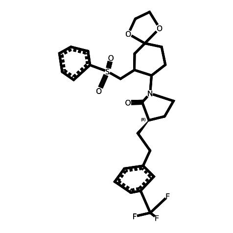 O=C1[C@H](CCc2cccc(C(F)(F)F)c2)CCN1C1CCC2(CC1CS(=O)(=O)c1ccccc1)OCCO2